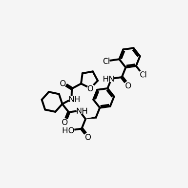 O=C(Nc1ccc(C[C@H](NC(=O)C2(NC(=O)C3CCCO3)CCCCC2)C(=O)O)cc1)c1c(Cl)cccc1Cl